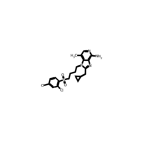 Cc1cnc(N)c2nc(CC3CC3)n(CCCCS(=O)(=O)c3ccc(Cl)cc3Cl)c12